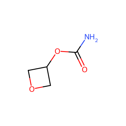 NC(=O)OC1COC1